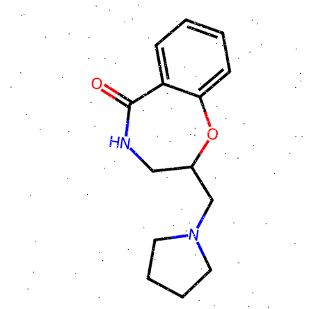 O=C1NCC(CN2CCCC2)Oc2ccccc21